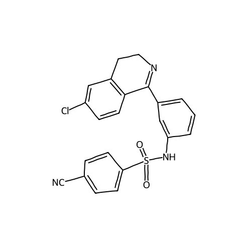 N#Cc1ccc(S(=O)(=O)Nc2cccc(C3=NCCc4cc(Cl)ccc43)c2)cc1